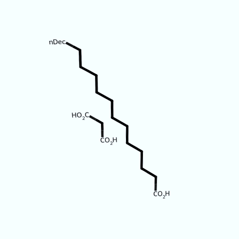 CCCCCCCCCCCCCCCCCCCCCC(=O)O.O=C(O)CC(=O)O